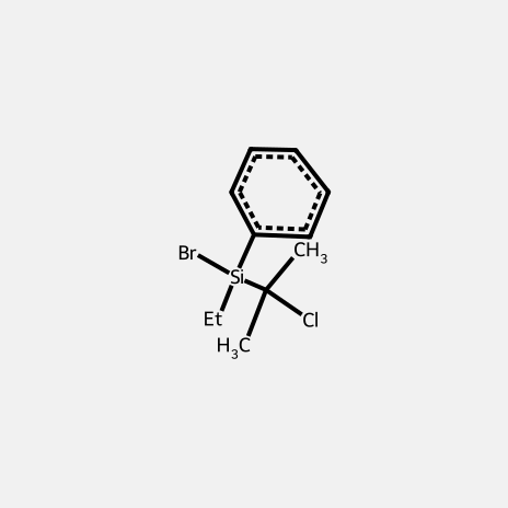 CC[Si](Br)(c1ccccc1)C(C)(C)Cl